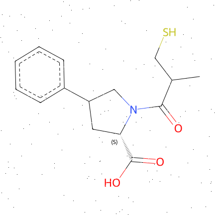 CC(CS)C(=O)N1CC(c2ccccc2)C[C@H]1C(=O)O